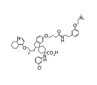 C[C@@H](COc1ccnc2c1[C@H](C)CCC2)C[C@H]1Cc2ccc(OCCCC(=O)NCCc3cccc(OCCN(C)C)c3)cc2C12CCC(Nc1cccc(Cl)c1)(C(=O)O)CC2